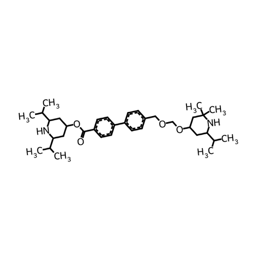 CC(C)C1CC(OC(=O)c2ccc(-c3ccc(COCOC4CC(C(C)C)NC(C)(C)C4)cc3)cc2)CC(C(C)C)N1